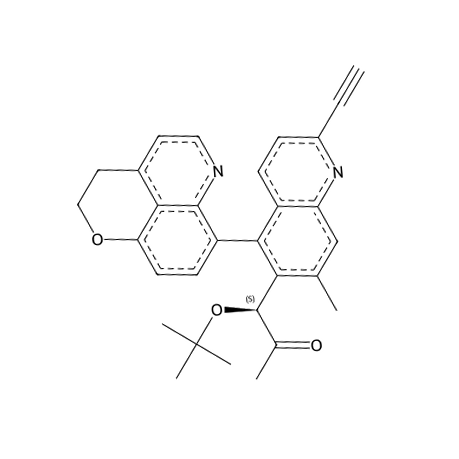 C#Cc1ccc2c(-c3ccc4c5c(ccnc35)CCO4)c([C@H](OC(C)(C)C)C(C)=O)c(C)cc2n1